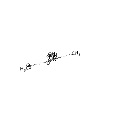 CCCCCCCCCCCCC(=O)O[C@@H](COC(=O)CCCCCCCCCCCSC(C)=O)COP(=O)(O)O